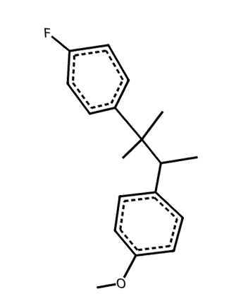 COc1ccc(C(C)C(C)(C)c2ccc(F)cc2)cc1